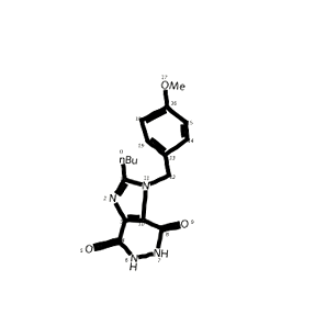 CCCCc1nc2c(=O)[nH][nH]c(=O)c2n1Cc1ccc(OC)cc1